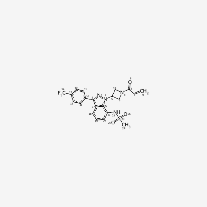 C=CC(=O)N1CC(n2nc(-c3ccc(C(F)(F)F)cc3)c3cccc(NS(C)(=O)=O)c32)C1